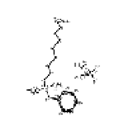 CCCCCCCCCCCCCCCCCC[N+](C)(C)Cc1ccccc1.CS(=O)(=O)[O-]